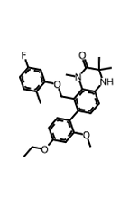 CCOc1ccc(-c2ccc3c(c2COc2cc(F)ccc2C)N(C)C(=O)C(C)(C)N3)c(OC)c1